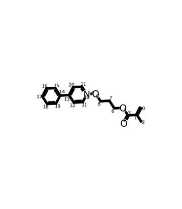 C=C(C)C(=O)OCCCO[n+]1ccc(-c2ccccc2)cc1